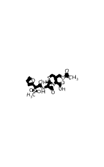 CC(=O)OCC1=C(C(=O)O)N2C(=O)C(NC(=O)C(c3ccco3)S(C)(=O)=O)[C@@H]2SC1